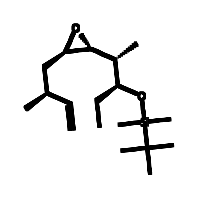 C=C[C@@H](C)C[C@H]1O[C@@H]1[C@H](C)[C@H](CC)O[Si](C)(C)C(C)(C)C